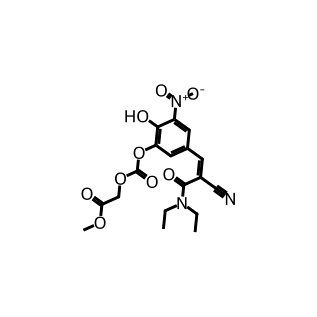 CCN(CC)C(=O)C(C#N)=Cc1cc(OC(=O)OCC(=O)OC)c(O)c([N+](=O)[O-])c1